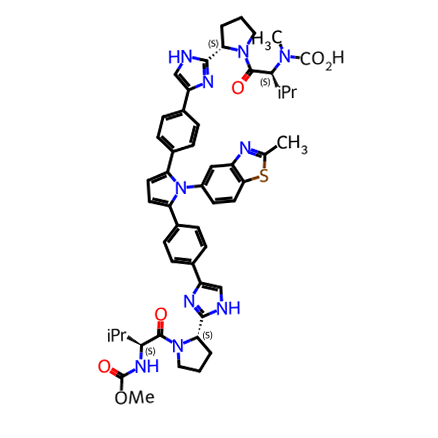 COC(=O)N[C@H](C(=O)N1CCC[C@H]1c1nc(-c2ccc(-c3ccc(-c4ccc(-c5c[nH]c([C@@H]6CCCN6C(=O)[C@H](C(C)C)N(C)C(=O)O)n5)cc4)n3-c3ccc4sc(C)nc4c3)cc2)c[nH]1)C(C)C